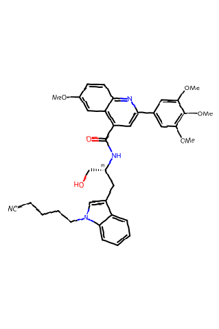 COc1ccc2nc(-c3cc(OC)c(OC)c(OC)c3)cc(C(=O)N[C@@H](CO)Cc3cn(CCCCC#N)c4ccccc34)c2c1